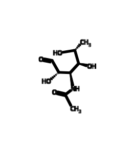 CC(=O)N[C@H]([C@H](O)[C@@H](C)O)[C@H](O)C=O